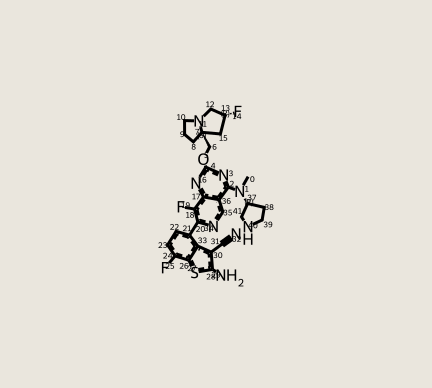 CN(c1nc(OC[C@@]23CCCN2C[C@H](F)C3)nc2c(F)c(-c3ccc(F)c4sc(N)c(C#N)c34)ncc12)[C@@H]1CCNC1